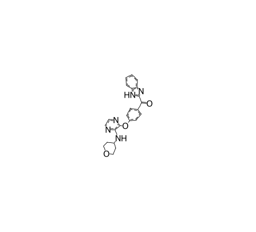 O=C(c1ccc(Oc2nccnc2NC2CCOCC2)cc1)c1nc2ccccc2[nH]1